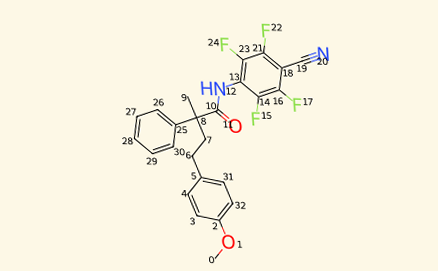 COc1ccc(CCC(C)(C(=O)Nc2c(F)c(F)c(C#N)c(F)c2F)c2ccccc2)cc1